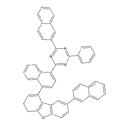 C1=C(c2ccc(-c3nc(-c4ccccc4)nc(-c4ccc5ccccc5c4)n3)c3ccccc23)c2c(oc3ccc(-c4ccc5ccccc5c4)cc23)CC1